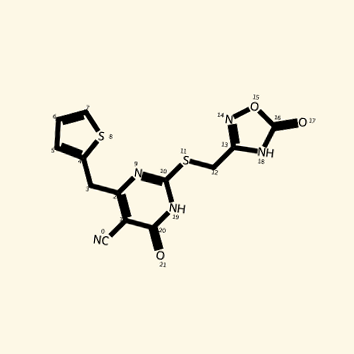 N#Cc1c(Cc2cccs2)nc(SCc2noc(=O)[nH]2)[nH]c1=O